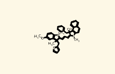 COc1ccc2c(c1)C(C)(Cc1cccs1)C(/C=C/C=C1/N(C)c3ccc4ccccc4c3C1(C)Cc1ccccc1)=[N+]2C